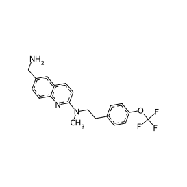 CN(CCc1ccc(OC(F)(F)F)cc1)c1ccc2cc(CN)ccc2n1